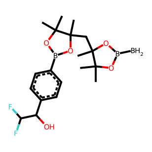 BB1OC(C)(C)C(C)(CC2(C)OB(c3ccc(C(O)C(F)F)cc3)OC2(C)C)O1